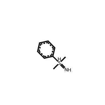 C[SH](C)(=N)c1ccccc1